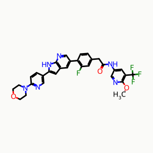 COc1ncc(NC(=O)Cc2ccc(-c3cnc4[nH]c(-c5ccc(N6CCOCC6)nc5)cc4c3)c(F)c2)cc1C(F)(F)F